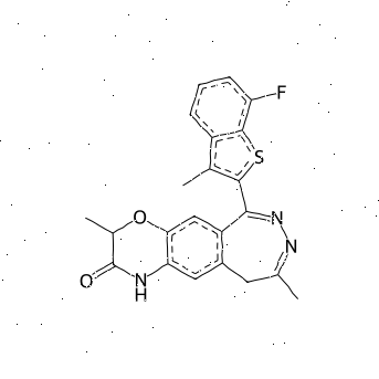 CC1=NN=C(c2sc3c(F)cccc3c2C)c2cc3c(cc2C1)NC(=O)C(C)O3